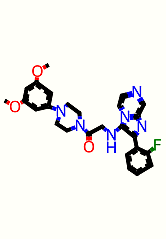 COc1cc(OC)cc(N2CCN(C(=O)CNc3c(-c4ccccc4F)nc4cnccn34)CC2)c1